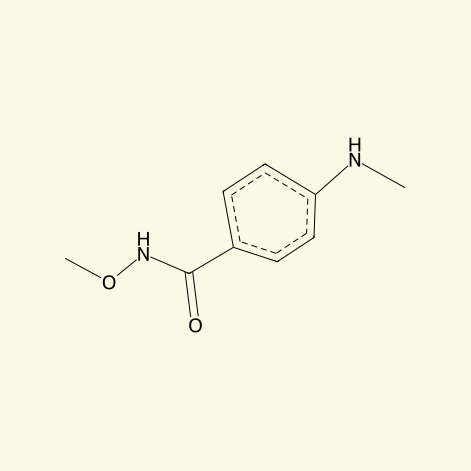 CNc1ccc(C(=O)NOC)cc1